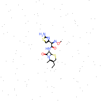 CCC1=C(C)N2C(=O)C(NC(=O)/C(=N\OC)c3csc(N)n3)C2SC1